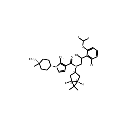 CC1(C)[C@@H]2C[C@@H](N(CC(O)c3c(Cl)cccc3OC(F)F)C(=O)c3cnn([C@H]4CC[C@](C)(C(=O)O)CC4)c3C(F)(F)F)C[C@@H]21